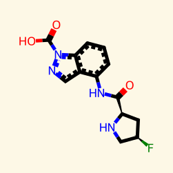 O=C(Nc1cccc2c1cnn2C(=O)O)[C@H]1C[C@@H](F)CN1